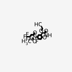 C#CCOC1C(=O)NOc2cc(F)c(-n3c(=O)cc(C(F)(F)F)n(C)c3=O)cc21